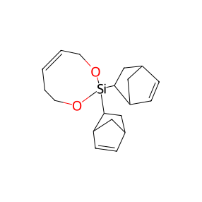 C1=CC2CC1CC2[Si]1(C2CC3C=CC2C3)OC/C=C\CCO1